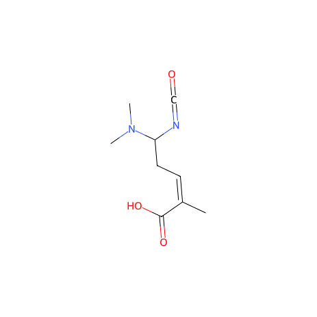 CC(=CCC(N=C=O)N(C)C)C(=O)O